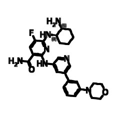 NC(=O)c1cc(F)c(N[C@@H]2CCCC[C@@H]2N)nc1Nc1cncc(-c2cccc(N3CCOCC3)c2)c1